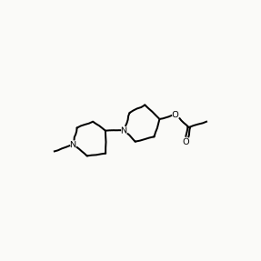 CC(=O)OC1CCN(C2CCN(C)CC2)CC1